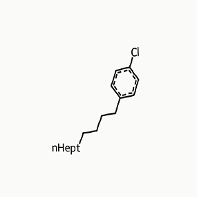 CCCCCCCCCCCc1ccc(Cl)cc1